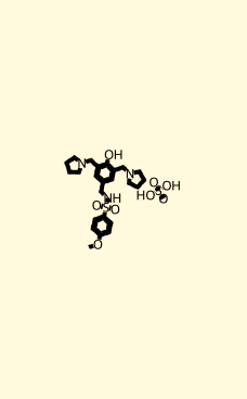 COc1ccc(S(=O)(=O)NCc2cc(CN3CCCC3)c(O)c(CN3CCCC3)c2)cc1.O=S(=O)(O)O